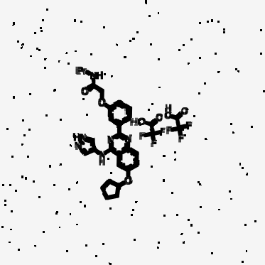 CC(C)NC(=O)COc1cccc(-c2nc(Nc3cn[nH]c3)c3cc(OC4CCCC4)ccc3n2)c1.O=C(O)C(F)(F)F.O=C(O)C(F)(F)F